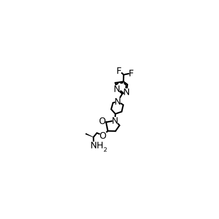 C[C@H](N)COC1CCN(C2CCN(c3ncc(C(F)F)cn3)CC2)C1=O